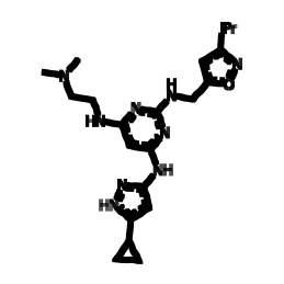 CC(C)c1cc(CNc2nc(NCCN(C)C)cc(Nc3cc(C4CC4)[nH]n3)n2)on1